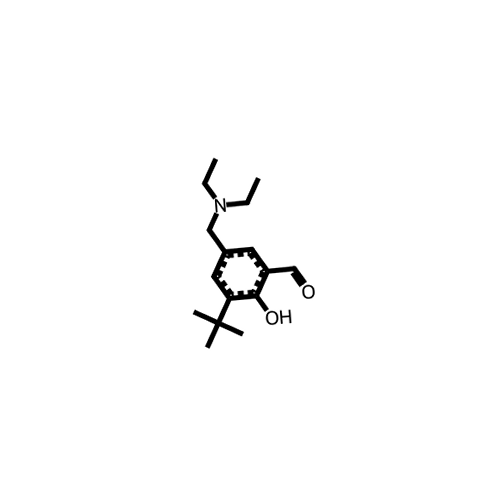 CCN(CC)Cc1cc(C=O)c(O)c(C(C)(C)C)c1